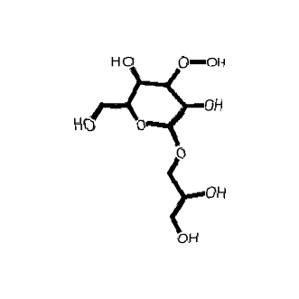 OCC(O)COC1OC(CO)C(O)C(OO)C1O